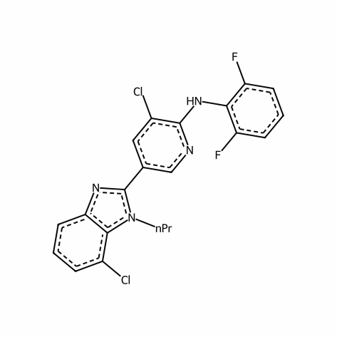 CCCn1c(-c2cnc(Nc3c(F)cccc3F)c(Cl)c2)nc2cccc(Cl)c21